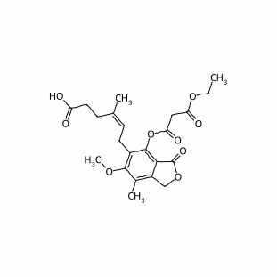 CCOC(=O)CC(=O)Oc1c(CC=C(C)CCC(=O)O)c(OC)c(C)c2c1C(=O)OC2